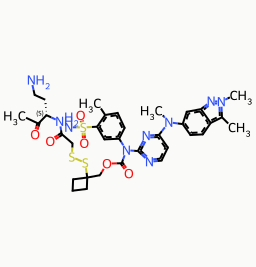 CC(=O)[C@H](CCN)NC(=O)CSSC1(COC(=O)N(c2ccc(C)c(S(N)(=O)=O)c2)c2nccc(N(C)c3ccc4c(C)n(C)nc4c3)n2)CCC1